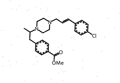 COC(=O)c1ccc(CC(C)N2CCN(CC=Cc3ccc(Cl)cc3)CC2)cc1